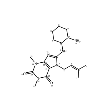 CC(C)=CCn1c(NC2CCCCC2N)nc2c1c(=O)n(C)c(=O)n2C